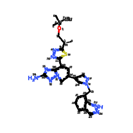 C[C@@H](CO[Si](C)(C)C(C)(C)C)c1nnc(-c2cc(-c3cnn(Cc4cccc5cn[nH]c45)c3)cn3nc(N)nc23)s1